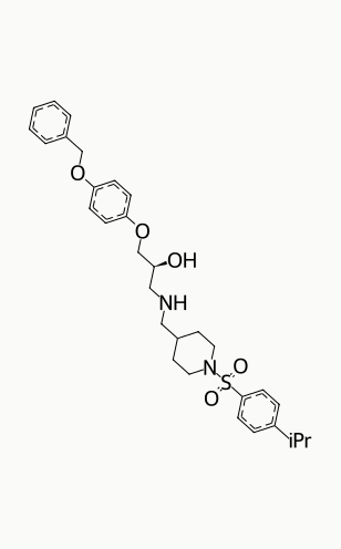 CC(C)c1ccc(S(=O)(=O)N2CCC(CNC[C@H](O)COc3ccc(OCc4ccccc4)cc3)CC2)cc1